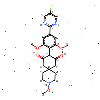 COc1cc(-c2ncc(F)cn2)cc(OC)c1C1C(=O)CC2(CCN(OC)CC2)CC1=O